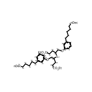 CCCCCCCCCCCCCCCc1cccc(OCC(CCC(=O)OCC)SC(CCC(=O)OCC)COc2cccc(CCCCCCCCCCCCCCC)c2)c1